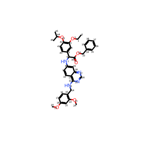 CCOc1cc(C(Nc2ccc3c(NCc4ccc(OC)cc4OC)ncnc3c2)C(=O)OCc2ccccc2)ccc1OC(C)C